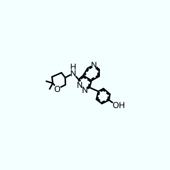 CC1(C)CCC(Nc2nnc(-c3ccc(O)cc3)c3ccncc23)CO1